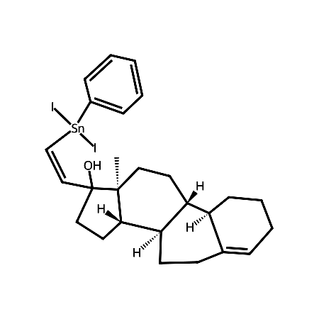 C[C@]12CC[C@H]3[C@@H](CCC4=CCCC[C@@H]43)[C@@H]1CCC2(O)/C=[CH]\[Sn]([I])([I])[c]1ccccc1